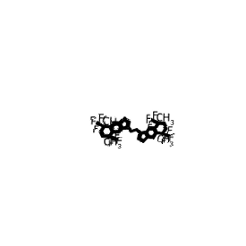 CC1(C(F)(F)F)CCC(C)(C(F)(F)F)c2cc3c(cc21)CC=C3CCC1=CCc2cc3c(cc21)C(C)(C(F)(F)F)CCC3(C)C(F)(F)F